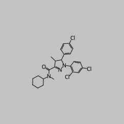 CC1C(C(=O)N(C)C2CCCCC2)=NN(c2ccc(Cl)cc2Cl)C1c1ccc(Cl)cc1